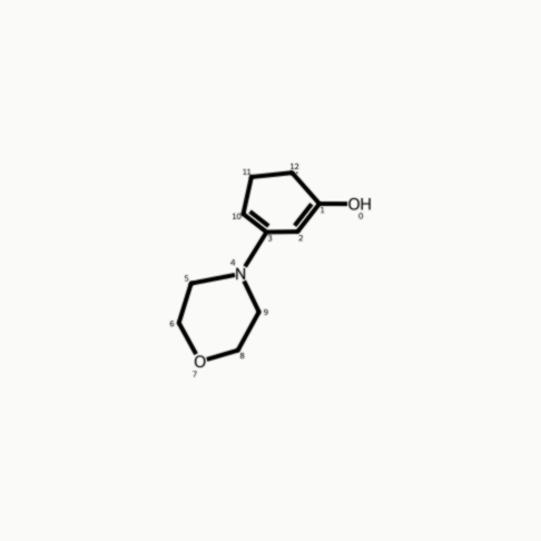 OC1=CC(N2CCOCC2)=CC[CH]1